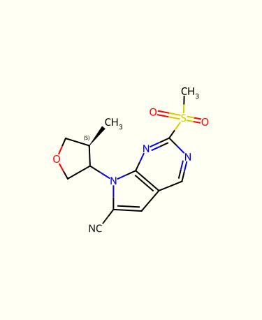 C[C@@H]1COCC1n1c(C#N)cc2cnc(S(C)(=O)=O)nc21